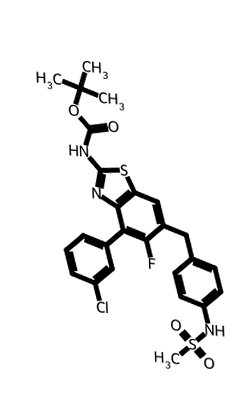 CC(C)(C)OC(=O)Nc1nc2c(-c3cccc(Cl)c3)c(F)c(Cc3ccc(NS(C)(=O)=O)cc3)cc2s1